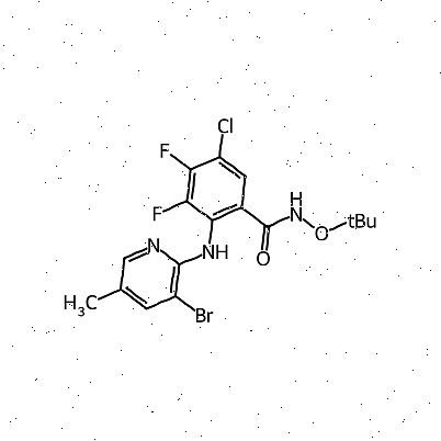 Cc1cnc(Nc2c(C(=O)NOC(C)(C)C)cc(Cl)c(F)c2F)c(Br)c1